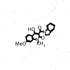 COc1ccc2c(O)c(C(=O)N3CCc4ccccc43)c(=O)n(C)c2c1